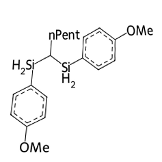 CCCCCC([SiH2]c1ccc(OC)cc1)[SiH2]c1ccc(OC)cc1